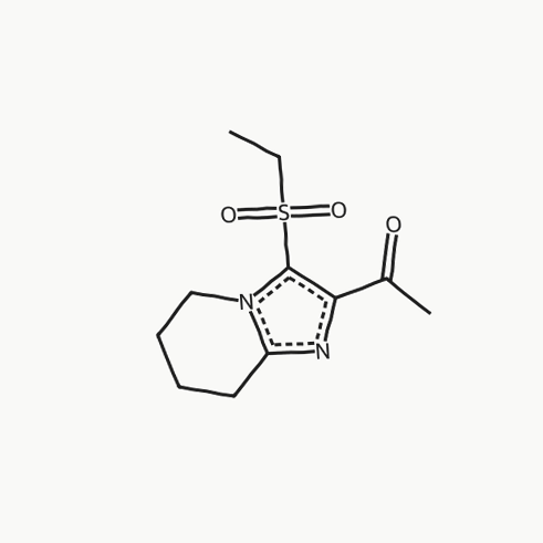 CCS(=O)(=O)c1c(C(C)=O)nc2n1CCCC2